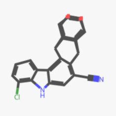 N#Cc1cc2[nH]c3c(Cl)cccc3c2c2c1C1c3ccccc3C2c2ccccc21